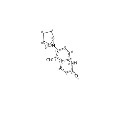 O=c1ccc2c(Cl)c(N3CC4CCC3C4)ccc2[nH]1